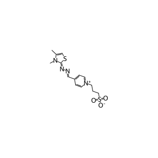 Cc1cs/c(=N\N=C\c2cc[n+](CCCS(=O)(=O)[O-])cc2)n1C